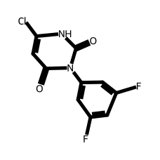 O=c1cc(Cl)[nH]c(=O)n1-c1cc(F)cc(F)c1